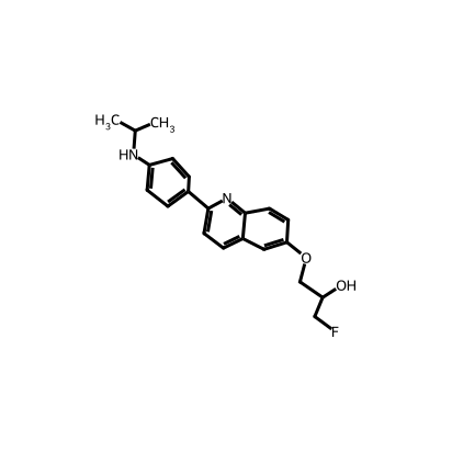 CC(C)Nc1ccc(-c2ccc3cc(OCC(O)CF)ccc3n2)cc1